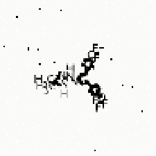 CC1(C)CN=C(NN=C(C=Cc2ccc(OC(F)(F)F)cc2)C=Cc2ccc(OC(F)(F)F)cc2)NC1